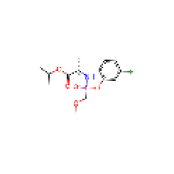 COCP(=O)(N[C@@H](C)C(=O)OC(C)C)Oc1cccc(F)c1